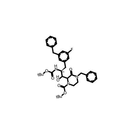 CC(C)(C)OC(=O)N[C@@H](Cc1cc(F)cc(Cc2ccccc2)c1)C(O)C1C(=O)N(Cc2ccccc2)CCN1C(=O)OC(C)(C)C